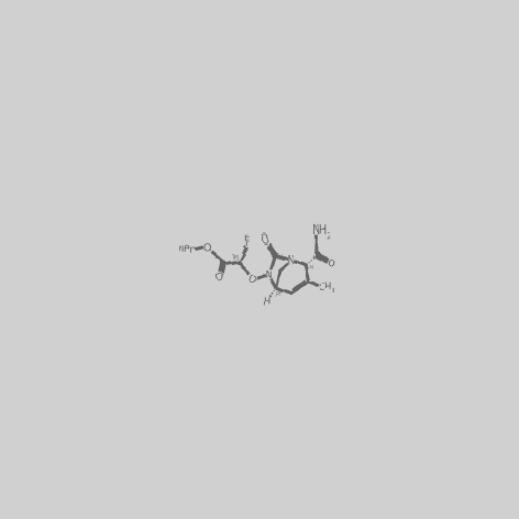 CCCOC(=O)[C@@H](F)ON1C(=O)N2C[C@H]1C=C(C)[C@H]2C(N)=O